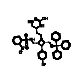 O=C(O)NC(CO)CCN1[C@H](COC(c2ccccc2)(c2ccccc2)c2ccccc2)[C@H](c2ccc(Br)cc2)[C@@H]1CNS(=O)(=O)c1ccccc1[N+](=O)[O-]